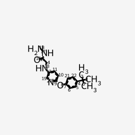 CC(C)(C)c1ccc(Oc2ccc(NCC(=O)NN)cn2)cc1